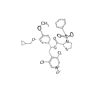 COc1ccc(C(Cc2c(Cl)c[n+]([O-])cc2Cl)OC(=O)C2SCCN2S(=O)(=O)c2ccccc2)cc1OCC1CC1